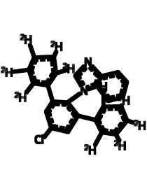 [2H]c1c([2H])c([2H])c(-c2cc(Cl)cc(-c3c([2H])c([2H])c([2H])c([2H])c3[2H])c2-n2cnc3ccccc32)c([2H])c1[2H]